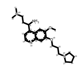 COc1cc2c(C(N)CCN(C)C)ccnc2cc1OCCCN1CCCC1